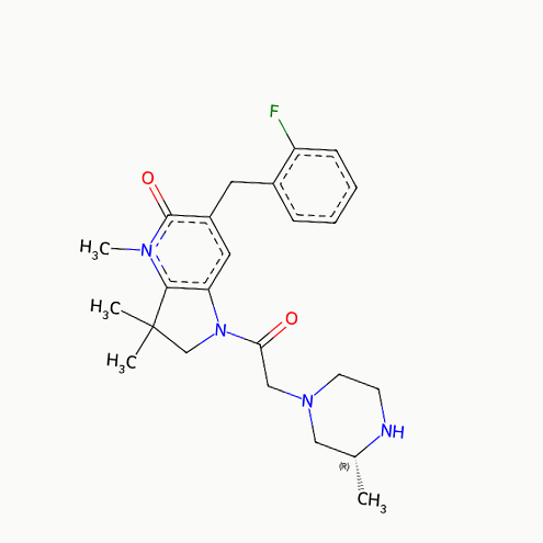 C[C@@H]1CN(CC(=O)N2CC(C)(C)c3c2cc(Cc2ccccc2F)c(=O)n3C)CCN1